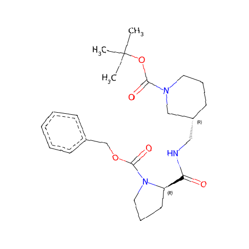 CC(C)(C)OC(=O)N1CCC[C@H](CNC(=O)[C@H]2CCCN2C(=O)OCc2ccccc2)C1